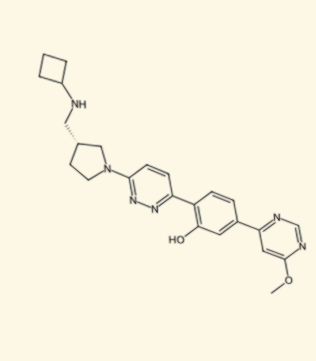 COc1cc(-c2ccc(-c3ccc(N4CC[C@H](CNC5CCC5)C4)nn3)c(O)c2)ncn1